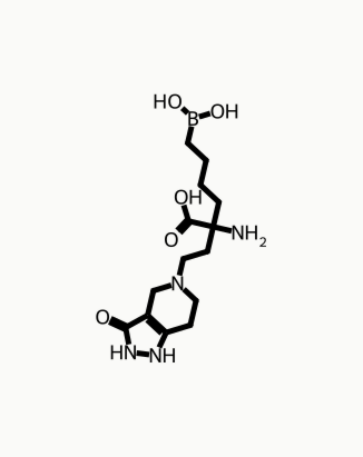 NC(CCCCB(O)O)(CCN1CCc2[nH][nH]c(=O)c2C1)C(=O)O